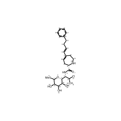 CSC1O[C@H]([C@H](NC(=O)[C@@H]2CC=C(/C=C/CCc3ccccc3)CCN2)[C@H](C)Cl)[C@@H](O)C(O)[C@H]1O